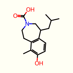 Cc1c(O)ccc2c1CCN(C(=O)O)CC2CC(C)C